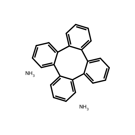 N.N.c1ccc2c(c1)-c1ccccc1-c1ccccc1-c1ccccc1-2